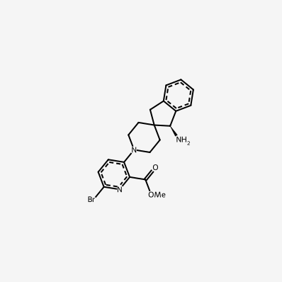 COC(=O)c1nc(Br)ccc1N1CCC2(CC1)Cc1ccccc1[C@H]2N